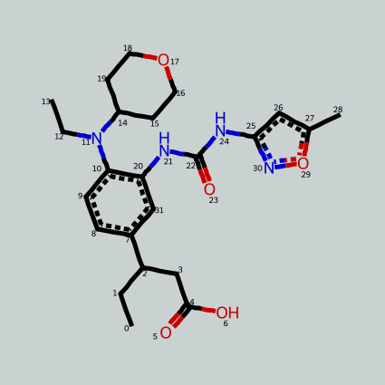 CCC(CC(=O)O)c1ccc(N(CC)C2CCOCC2)c(NC(=O)Nc2cc(C)on2)c1